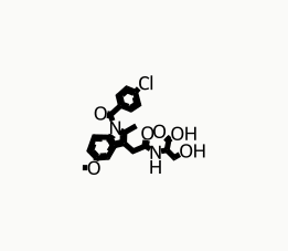 COc1ccc2c(c1)c(CC(=O)NC(CO)C(=O)O)c(C)n2C(=O)c1ccc(Cl)cc1